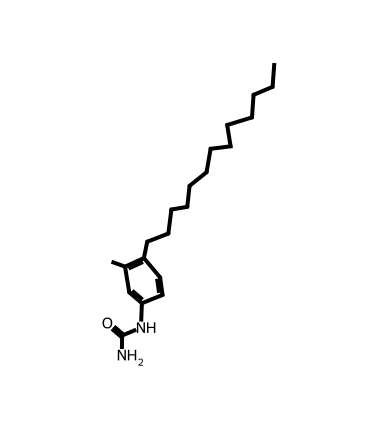 CCCCCCCCCCCCCc1ccc(NC(N)=O)cc1C